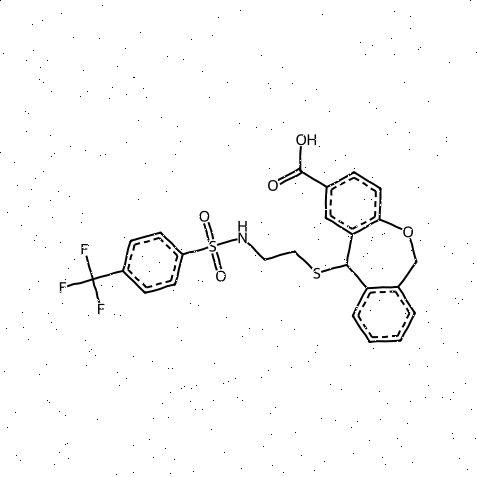 O=C(O)c1ccc2c(c1)C(SCCNS(=O)(=O)c1ccc(C(F)(F)F)cc1)c1ccccc1CO2